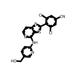 N#Cc1cc(Cl)c(-c2nc3ccnc(Nc4ccc(CO)cn4)c3s2)c(Cl)c1